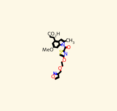 COc1cc(CCC(=O)O)c2cc(C)n(C(=O)c3nc(OCCOCc4ccon4)cs3)c2c1